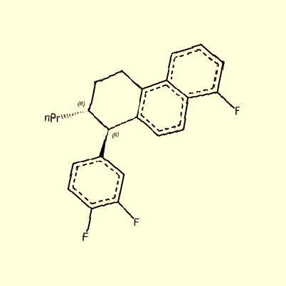 CCC[C@@H]1CCc2c(ccc3c(F)cccc23)[C@H]1c1ccc(F)c(F)c1